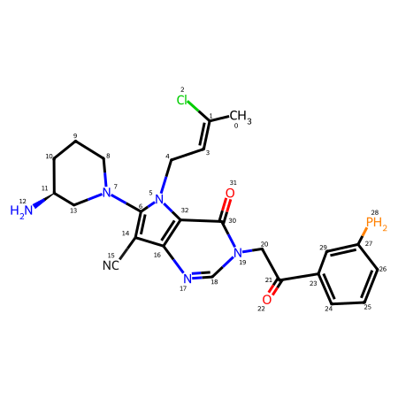 CC(Cl)=CCn1c(N2CCC[C@H](N)C2)c(C#N)c2ncn(CC(=O)c3cccc(P)c3)c(=O)c21